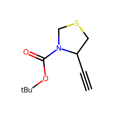 C#CC1CSCN1C(=O)OC(C)(C)C